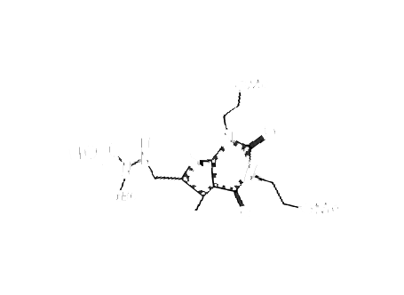 COCCn1c(=O)c2c(C)c(CNN(C(=O)O)C(C)(C)C)sc2n(CCOC)c1=O